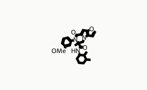 COc1cccc(N2C(=O)c3cc4occc4n3CC2(C)C(=O)NC2CCCC(C)C2C)c1